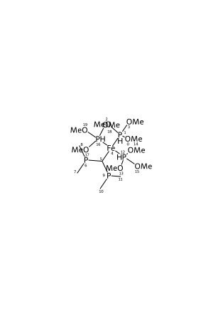 CO[PH](OC)(OC)[Fe]([CH](P(C)C)P(C)C)([PH](OC)(OC)OC)[PH](OC)(OC)OC